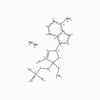 CCC1(OCP(=O)([O-])[O-])CC(n2cnc3c(N)ncnc32)C=C1F.[Na+].[Na+]